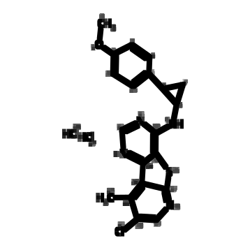 COc1ccc(C2CC2Nc2ncnc3c2sc2ncc(Cl)c(C)c23)cc1.Cl.Cl